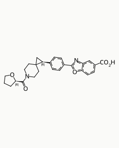 O=C(O)c1ccc2oc(-c3ccc([C@@H]4CC45CCN(C(=O)[C@H]4CCCO4)CC5)cc3)nc2c1